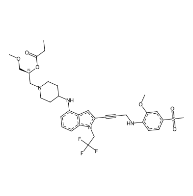 CCC(=O)O[C@H](COC)CN1CCC(Nc2cccc3c2cc(C#CCNc2ccc(S(C)(=O)=O)cc2OC)n3CC(F)(F)F)CC1